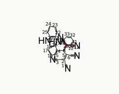 N#CC(C#N)=C(C#N)C(=C(C#N)C#N)c1cccc(Nc2ccccc2)c1Nc1ccccc1